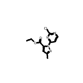 CCOC(=O)c1cc(C)nn1-c1ccnc(Cl)n1